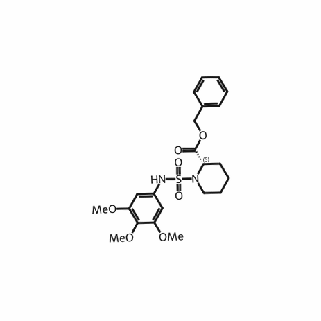 COc1cc(NS(=O)(=O)N2CCCC[C@H]2C(=O)OCc2ccccc2)cc(OC)c1OC